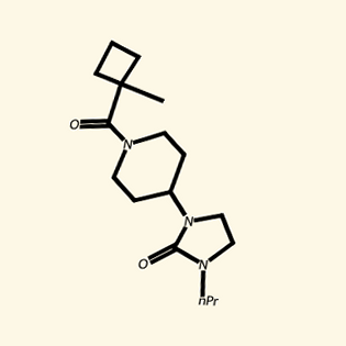 CCCN1CCN(C2CCN(C(=O)C3(C)CCC3)CC2)C1=O